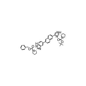 CC(C)(C)OC(=O)N1CCC[C@H]1c1nc(-c2ccc3cc(-c4ccc5[nH]c([C@@H]6CCCN6C(=O)OCc6ccccc6)nc5c4)ccc3c2)c[nH]1